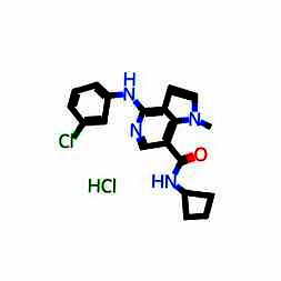 Cl.Cn1ccc2c(Nc3cccc(Cl)c3)ncc(C(=O)NC3CCC3)c21